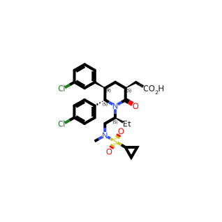 CC[C@@H](CN(C)S(=O)(=O)C1CC1)N1C(=O)[C@H](CC(=O)O)C[C@H](c2cccc(Cl)c2)[C@H]1c1ccc(Cl)cc1